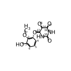 COc1ccccc1O.O=C1NC(=O)C(=O)C(=O)N1